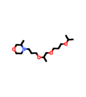 CC(C)OCCCOCC(C)OCCCN1CCOCC1C